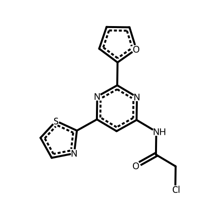 O=C(CCl)Nc1cc(-c2nccs2)nc(-c2ccco2)n1